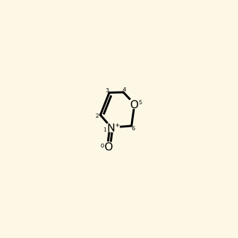 O=[N+]1C=CCOC1